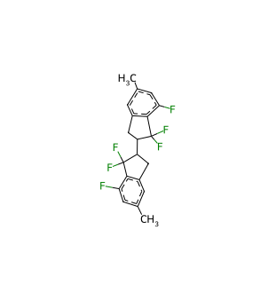 Cc1cc(F)c2c(c1)CC(C1Cc3cc(C)cc(F)c3C1(F)F)C2(F)F